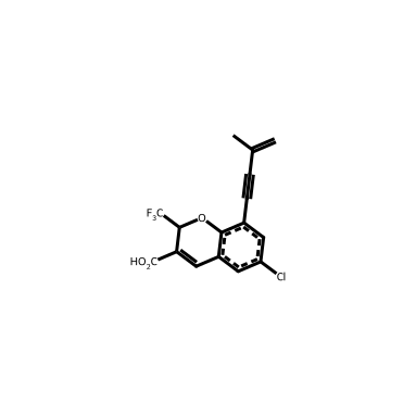 C=C(C)C#Cc1cc(Cl)cc2c1OC(C(F)(F)F)C(C(=O)O)=C2